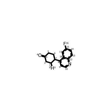 [2H]C1CC(=O)CCC1c1ccnc2ccc(F)cc12